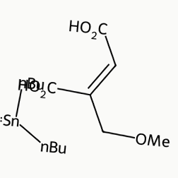 CCC[CH2][Sn][CH2]CCC.COCC(=CC(=O)O)C(=O)O